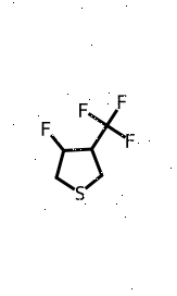 FC1CSCC1C(F)(F)F